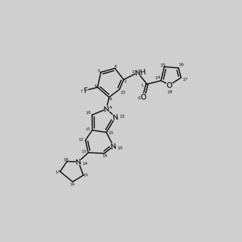 O=C(Nc1ccc(F)c(-n2cc3cc(N4CCCC4)cnc3n2)c1)c1ccco1